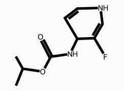 CC(C)OC(=O)N[C]1C=CNC=C1F